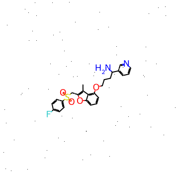 Cc1c(CS(=O)(=O)c2ccc(F)cc2)oc2cccc(OCCCC(N)c3cccnc3)c12